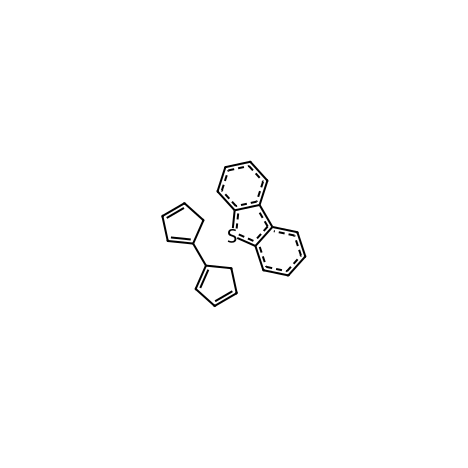 C1=CCC(C2=CC=CC2)=C1.c1ccc2c(c1)sc1ccccc12